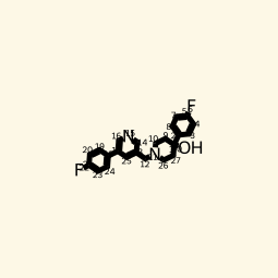 OC1(c2ccc(F)cc2)CCN(Cc2cncc(-c3ccc(F)cc3)c2)CC1